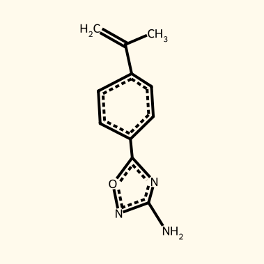 C=C(C)c1ccc(-c2nc(N)no2)cc1